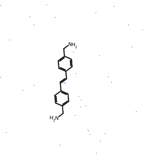 NCc1ccc(/C=C/c2ccc(CN)cc2)cc1